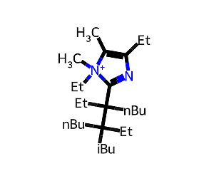 CCCCC(CC)(C1=NC(CC)=C(C)[N+]1(C)CC)C(CC)(CCCC)C(C)CC